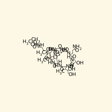 CC[C@H](C)[C@@H]1CC(=O)CNC(=O)[C@@H]2Cc3c([nH]c4c(CSCCCCNC(=O)OC(C)(C)C)c(OC)ccc34)[S+]([O-])C[C@H](NC(=O)CNC1=O)C(=O)N[C@@H](CCC(N)=O)C(=O)N1C[C@H](O)C[C@H]1C(=O)N[C@@H]([C@@H](C)[C@@H](O)CO)C(=O)N2